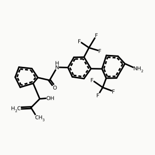 C=C(C)C(O)c1ccccc1C(=O)Nc1ccc(-c2ccc(N)cc2C(F)(F)F)c(C(F)(F)F)c1